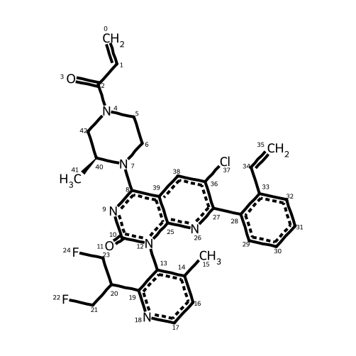 C=CC(=O)N1CCN(c2nc(=O)n(-c3c(C)ccnc3C(CF)CF)c3nc(-c4ccccc4C=C)c(Cl)cc23)[C@@H](C)C1